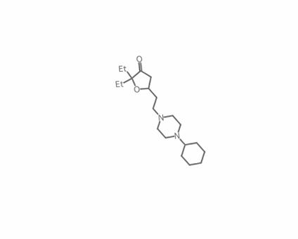 CCC1(CC)OC(CCN2CCN(C3CCCCC3)CC2)CC1=O